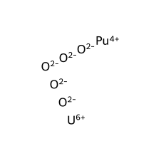 [O-2].[O-2].[O-2].[O-2].[O-2].[Pu+4].[U+6]